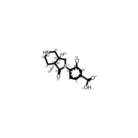 O=C(O)c1ccc(N2C[C@@H]3CNCC[C@]3(F)C2=O)c(Cl)c1